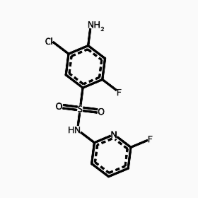 Nc1cc(F)c(S(=O)(=O)Nc2cccc(F)n2)cc1Cl